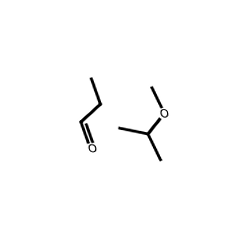 CCC=O.COC(C)C